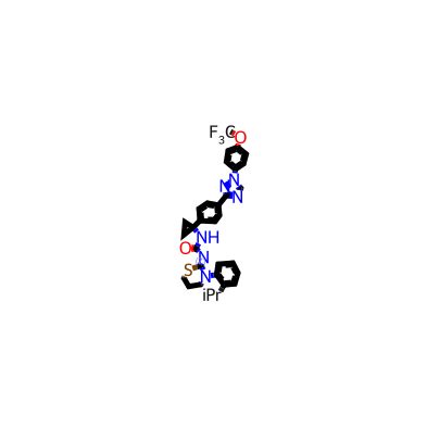 CC(C)c1ccccc1N1CCCS/C1=N\C(=O)NC1(c2ccc(-c3ncn(-c4ccc(OC(F)(F)F)cc4)n3)cc2)CC1